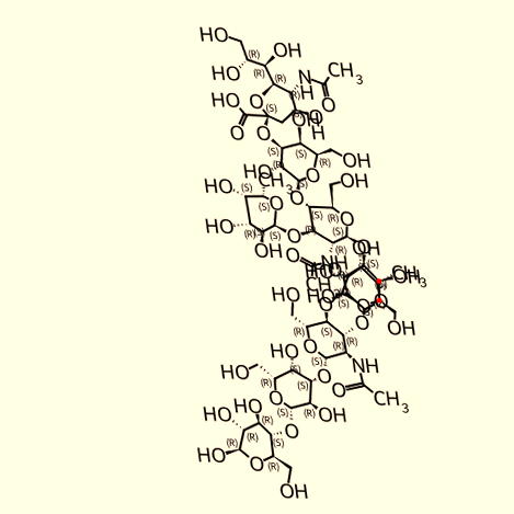 CC(=O)N[C@H]1[C@H](O[C@H]2[C@@H](O)[C@@H](CO)O[C@@H](O[C@H]3[C@H](O)[C@@H](O)[C@H](O)O[C@@H]3CO)[C@@H]2O)O[C@H](CO)[C@@H](O[C@@H]2O[C@H](CO)[C@H](O)[C@H](O[C@@H]3O[C@H](CO)[C@@H](O[C@@H]4O[C@H](CO)[C@H](O)[C@H](O[C@]5(C(=O)O)C[C@H](O)[C@@H](NC(C)=O)[C@H]([C@H](O)[C@H](O)CO)O5)[C@H]4O)[C@H](O[C@@H]4O[C@@H](C)[C@@H](O)[C@@H](O)[C@@H]4O)[C@H]3NC(C)=O)[C@H]2O)[C@@H]1O[C@@H]1O[C@@H](C)[C@@H](O)[C@@H](O)[C@@H]1O